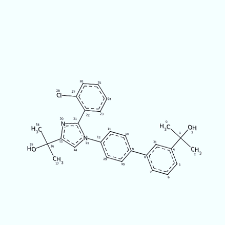 CC(C)(O)c1cccc(-c2ccc(-n3cc(C(C)(C)O)nc3-c3ccccc3Cl)cc2)c1